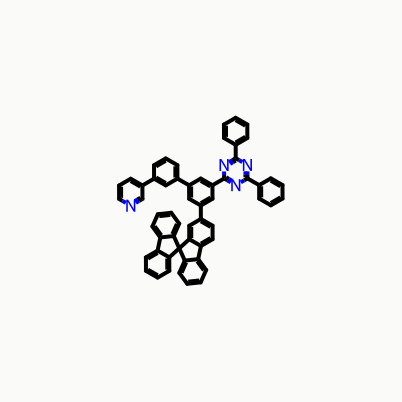 c1ccc(-c2nc(-c3ccccc3)nc(-c3cc(-c4cccc(-c5cccnc5)c4)cc(-c4ccc5c(c4)C4(c6ccccc6-c6ccccc64)c4ccccc4-5)c3)n2)cc1